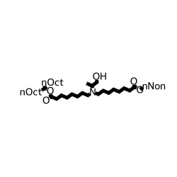 CCCCCCCCCOC(=O)CCCCCCCN(CCCCCCCC(=O)OC(CCCCCCCC)CCCCCCCC)C(C)CO